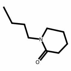 CCCCN1CCCCC1=O